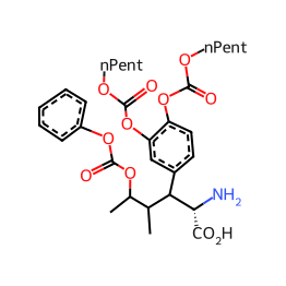 CCCCCOC(=O)Oc1ccc(C(C(C)C(C)OC(=O)Oc2ccccc2)[C@H](N)C(=O)O)cc1OC(=O)OCCCCC